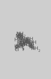 C=CCCC(=O)NC(COc1cccc(Cl)c1)C(=O)O[C@H]1[C@@H](O)[C@H](n2cnc3c(N)ncnc32)O[C@@H]1COP(=O)(O)O[C@H]1[C@@H](O)[C@H](n2ccc(N)nc2=O)O[C@@H]1COP(=O)(O)O